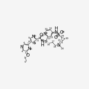 CCOc1cncc(-c2cnc(C(=O)N[C@@H](CCCN(C)C)c3cc(NS(=O)(=O)C4CC4)ccn3)s2)n1